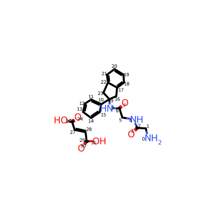 NCC(=O)NCC(=O)NC1(c2ccccc2)Cc2ccccc2C1.O=C(O)C=CC(=O)O